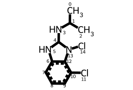 CC(C)NC1Nc2cccc(Cl)c2N1Cl